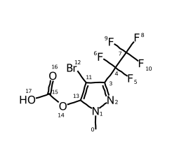 Cn1nc(C(F)(F)C(F)(F)F)c(Br)c1OC(=O)O